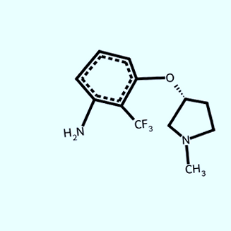 CN1CC[C@@H](Oc2cccc(N)c2C(F)(F)F)C1